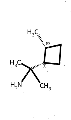 C[C@@H]1CC[C@@H]1C(C)(C)N